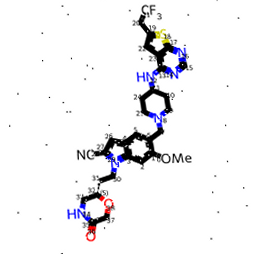 COc1cc2c(cc1CN1CCC(Nc3ncnc4sc(CC(F)(F)F)cc34)CC1)cc(C#N)n2CC[C@H]1CNC(=O)CO1